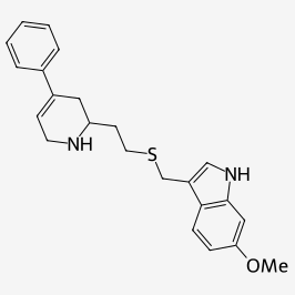 COc1ccc2c(CSCCC3CC(c4ccccc4)=CCN3)c[nH]c2c1